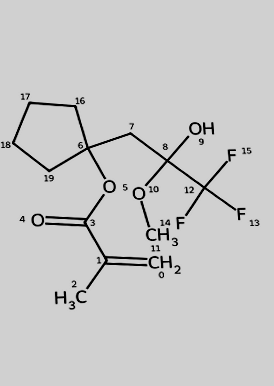 C=C(C)C(=O)OC1(CC(O)(OC)C(F)(F)F)CCCC1